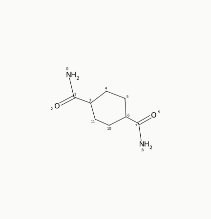 NC(=O)C1CCC(C(N)=O)CC1